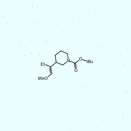 CCC(=COC)C1CCCN(C(=O)OC(C)(C)C)C1